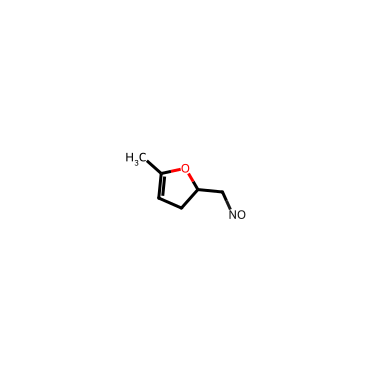 CC1=CCC(CN=O)O1